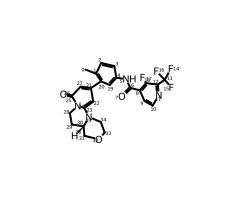 Cc1ccc(NC(=O)c2ccnc(C(F)(F)F)c2F)cc1-c1cc2n(c(=O)c1)CC[C@H]1COCCN21